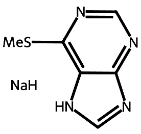 CSc1ncnc2nc[nH]c12.[NaH]